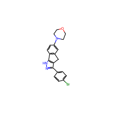 Brc1ccc(-c2n[nH]c3c2Cc2cc(N4CCOCC4)ccc2-3)cc1